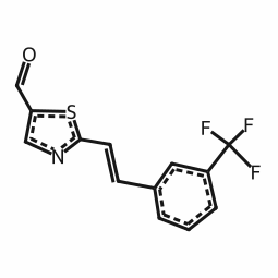 O=Cc1cnc(C=Cc2cccc(C(F)(F)F)c2)s1